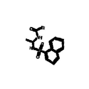 CCC(=O)NC(C)NS(=O)(=O)c1cccc2ccccc12